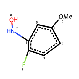 COc1ccc(F)c(NO)c1